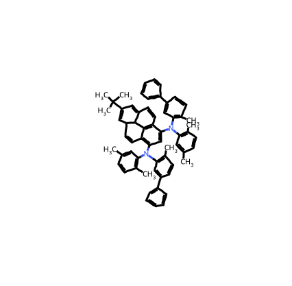 Cc1ccc(C)c(N(c2cc(-c3ccccc3)ccc2C)c2cc(N(c3cc(C)ccc3C)c3cc(-c4ccccc4)ccc3C)c3c4c2C=CC2=CC(C(C)(C)C)=CC(C=C3)C24)c1